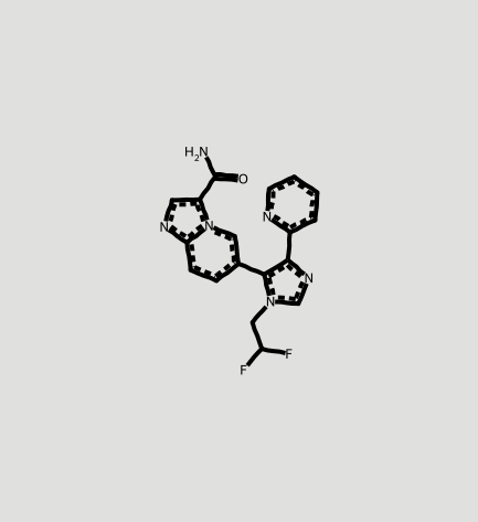 NC(=O)c1cnc2ccc(-c3c(-c4ccccn4)ncn3CC(F)F)cn12